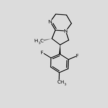 Cc1cc(F)c([C@@H]2CN3CCCN=C3[C@H]2C)c(F)c1